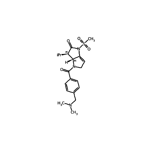 CC(C)[C@H]1C(=O)N(S(C)(=O)=O)C2=CCN(C(=O)c3ccc(CN(C)C)cc3)[C@@H]21